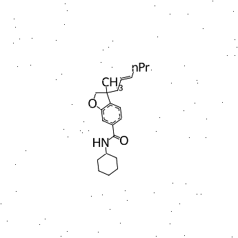 CCCC=CCC1(C)COc2cc(C(=O)NC3CCCCC3)ccc21